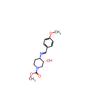 COC(=O)N1CC[C@@H](/N=C/c2ccc(OC)cc2)[C@H](O)C1